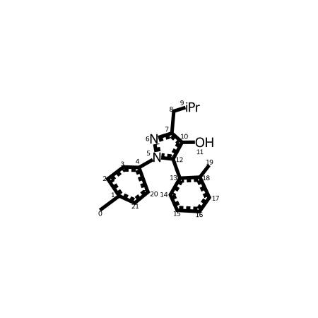 Cc1ccc(-n2nc(CC(C)C)c(O)c2-c2ccccc2C)cc1